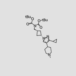 CN1CCC(c2cn([C@H]3C[C@H](CN(C(=O)OC(C)(C)C)C(=O)OC(C)(C)C)C3)nc2C2CC2)CC1